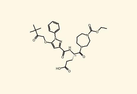 CCOC(=O)N1CCCN(C(=O)[C@H](CCC(=O)O)NC(=O)c2cc(OCC(=O)C(C)(C)C)n(-c3ccccc3)n2)CC1